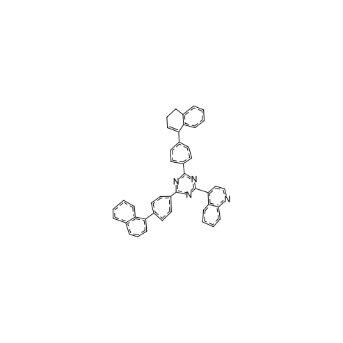 C1=C(c2ccc(-c3nc(-c4ccc(-c5cccc6ccccc56)cc4)nc(-c4ccnc5ccccc45)n3)cc2)c2ccccc2CC1